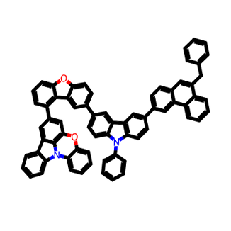 c1ccc(Cc2cc3ccc(-c4ccc5c(c4)c4cc(-c6ccc7oc8cccc(-c9cc%10c%11c(c9)c9ccccc9n%11-c9ccccc9O%10)c8c7c6)ccc4n5-c4ccccc4)cc3c3ccccc23)cc1